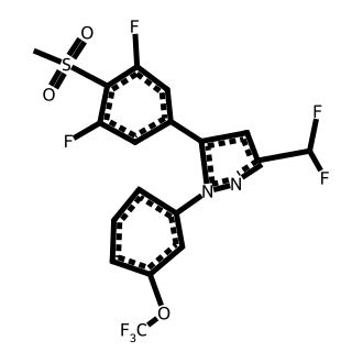 CS(=O)(=O)c1c(F)cc(-c2cc(C(F)F)nn2-c2cccc(OC(F)(F)F)c2)cc1F